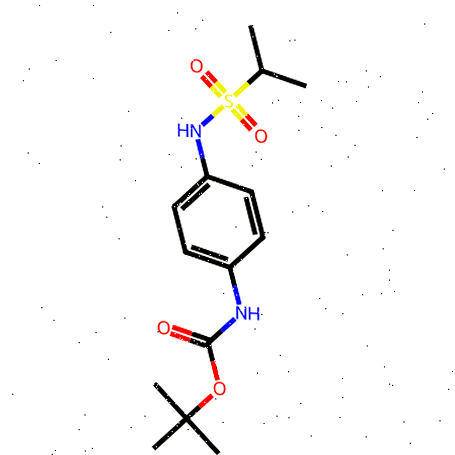 CC(C)S(=O)(=O)Nc1ccc(NC(=O)OC(C)(C)C)cc1